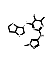 CC1N=C(Nc2cnn(C)c2)N=C(N[C@@H]2COC3CCOC32)C1Cl